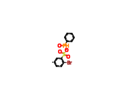 O=[PH](OS(=O)(=O)c1c[c]ccc1Br)c1ccccc1